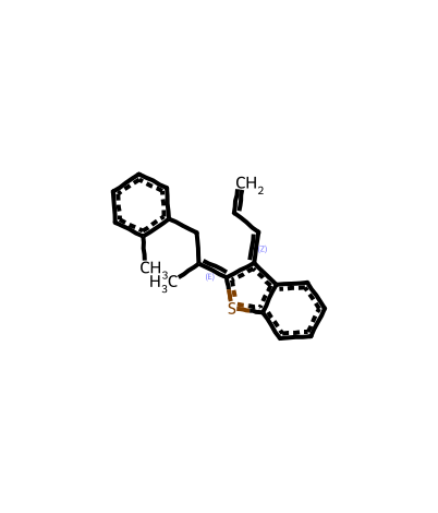 C=C/C=c1\c(=C(\C)Cc2ccccc2C)sc2ccccc12